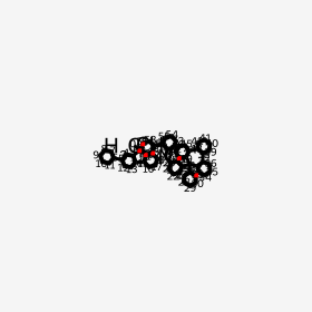 CC1(C)c2cc(-c3ccccc3)ccc2-c2ccc(N(c3cccc(C4(c5ccccc5)c5ccccc5-c5ccccc5-c5ccccc54)c3)c3ccccc3-c3ccccc3)cc21